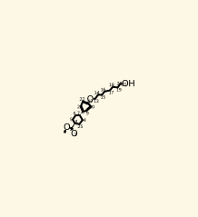 COC(=O)[C@H]1CC[C@H](c2ccc(OCCCCCCCCO)cc2)CC1